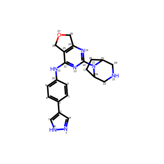 c1cc(-c2cn[nH]c2)ccc1Nc1nc(N2C3CCC2CNC3)nc2c1COC2